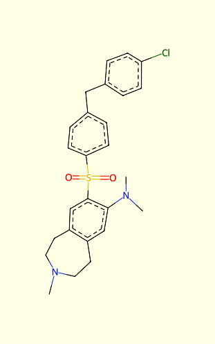 CN1CCc2cc(N(C)C)c(S(=O)(=O)c3ccc(Cc4ccc(Cl)cc4)cc3)cc2CC1